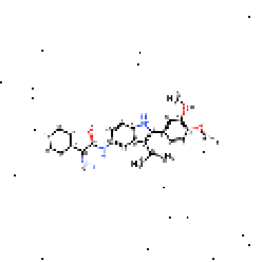 COc1ccc(-c2[nH]c3ccc(NC(=O)C(N)C4CCCCC4)cc3c2C(C)C)cc1OC